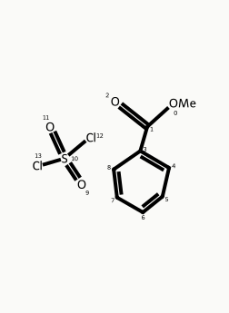 COC(=O)c1ccccc1.O=S(=O)(Cl)Cl